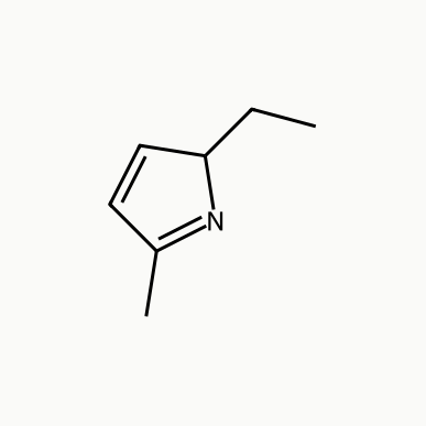 CCC1C=CC(C)=N1